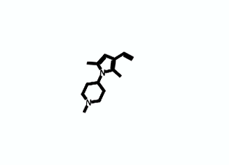 C=Cc1cc(C)n(C2CCN(C)CC2)c1C